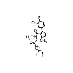 CN(CC(=O)N1CC(F)(CF)C1)C(=O)c1c(-c2ccc(F)c(Cl)c2)ccn1C